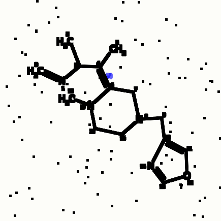 C=NC(C)/C(C)=C1/CN(Cc2cocn2)CCN1C